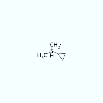 [CH2][SH](C)C1CC1